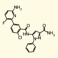 NC(=O)c1cc(NC(=O)c2cc(-c3nc(N)ccc3F)ccc2Cl)n(-c2ccccc2)n1